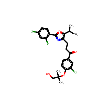 CC(C)c1oc(-c2ccc(Cl)cc2Cl)nc1CCC(=O)c1ccc(OC(C)(C)CO)c(Cl)c1